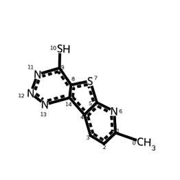 Cc1ccc2c(n1)sc1c(S)nnnc12